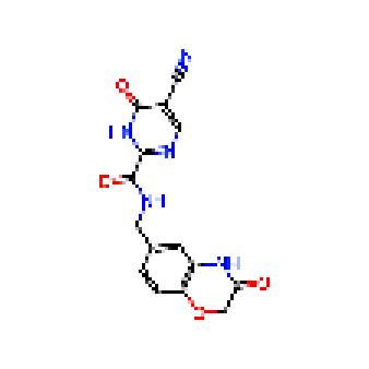 N#Cc1cnc(C(=O)NCc2ccc3c(c2)NC(=O)CO3)[nH]c1=O